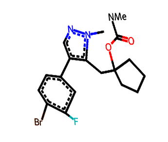 CNC(=O)OC1(Cc2c(-c3ccc(Br)c(F)c3)cnn2C)CCCC1